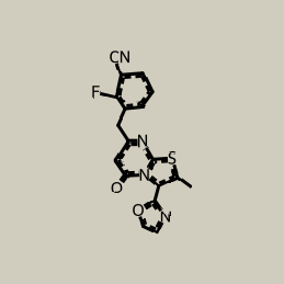 Cc1sc2nc(Cc3cccc(C#N)c3F)cc(=O)n2c1-c1ncco1